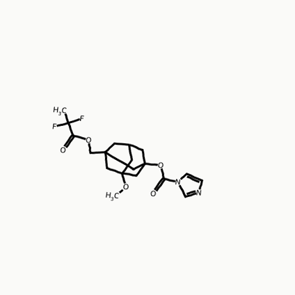 COC12CC3CC(COC(=O)C(C)(F)F)(C1)CC(OC(=O)n1ccnc1)(C3)C2